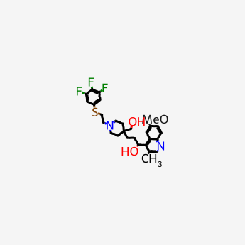 COc1ccc2ncc(C)c(C(O)CCC3(CO)CCN(CCSc4cc(F)c(F)c(F)c4)CC3)c2c1